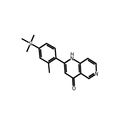 Cc1cc([Si](C)(C)C)ccc1-c1cc(=O)c2cnccc2[nH]1